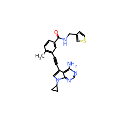 Cc1ccc(C(=O)NCc2ccsc2)cc1C#Cc1cn(C2CC2)c2ncnc(N)c12